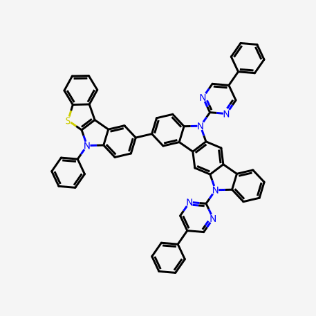 c1ccc(-c2cnc(-n3c4ccccc4c4cc5c(cc43)c3cc(-c4ccc6c(c4)c4c7ccccc7sc4n6-c4ccccc4)ccc3n5-c3ncc(-c4ccccc4)cn3)nc2)cc1